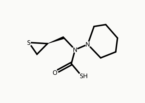 O=C(S)N(C[C@H]1CS1)N1CCCCC1